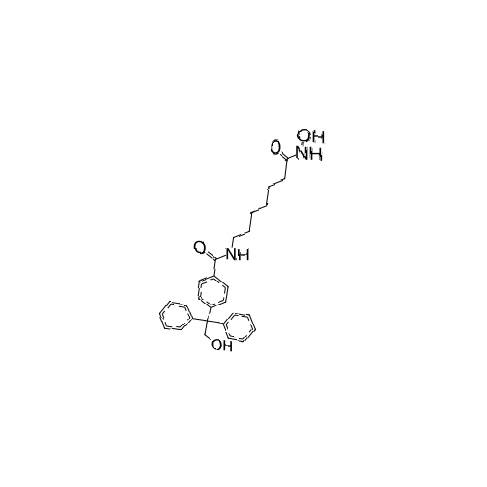 O=C(CCCCCCNC(=O)c1ccc(C(CO)(c2ccccc2)c2ccccc2)cc1)NO